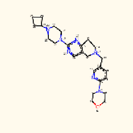 c1cc(N2CCOCC2)ncc1CN1CCc2nc(N3CCN(C4CCC4)CC3)ncc2C1